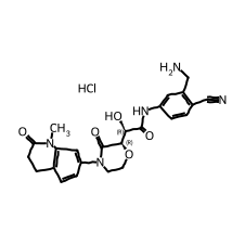 CN1C(=O)CCc2ccc(N3CCO[C@H]([C@@H](O)C(=O)Nc4ccc(C#N)c(CN)c4)C3=O)cc21.Cl